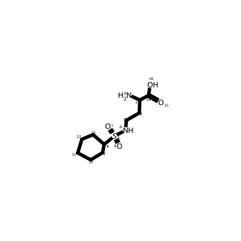 NC(CCNS(=O)(=O)C1CCCCC1)C(=O)O